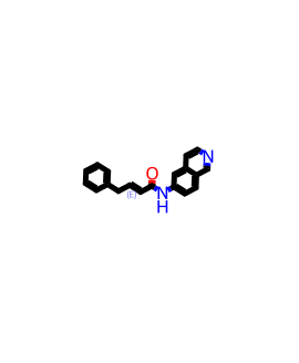 O=C(/C=C/Cc1ccccc1)Nc1ccc2cnccc2c1